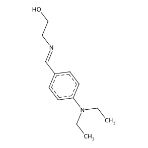 CCN(CC)c1ccc(/C=N/CCO)cc1